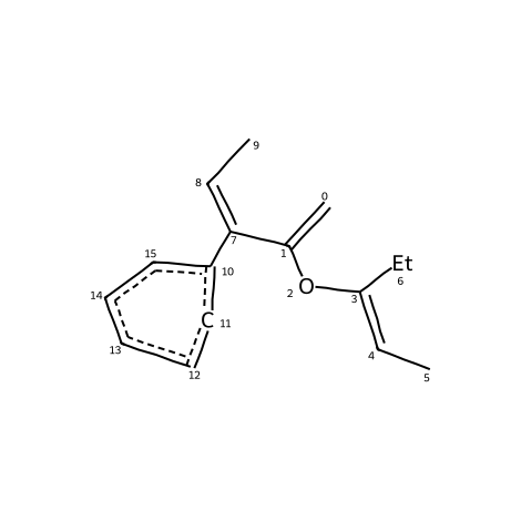 C=C(O/C(=C/C)CC)/C(=C\C)c1ccccc1